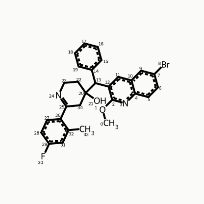 COc1nc2ccc(Br)cc2cc1C(c1ccccc1)C1(O)CCN=C(c2ccc(F)cc2C)C1